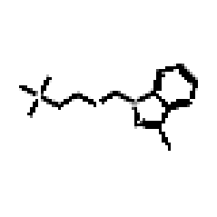 C[Si](C)(C)CCOCn1nc(I)c2ncccc21